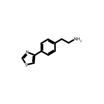 NCCc1ccc(-c2cscn2)cc1